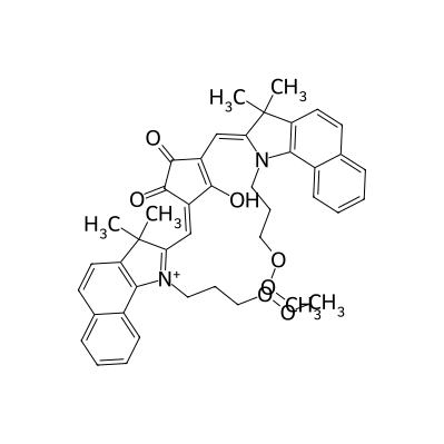 COOCCCN1/C(=C\C2=C(O)C(=C/C3=[N+](CCCOOC)c4c(ccc5ccccc45)C3(C)C)/C(=O)C2=O)C(C)(C)c2ccc3ccccc3c21